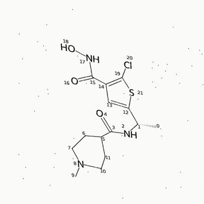 C[C@H](NC(=O)C1CCN(C)CC1)c1cc(C(=O)NO)c(Cl)s1